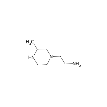 CC1CN(CCN)CCN1